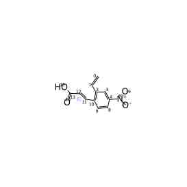 C=Cc1cc([N+](=O)[O-])ccc1/C=C/C(=O)O